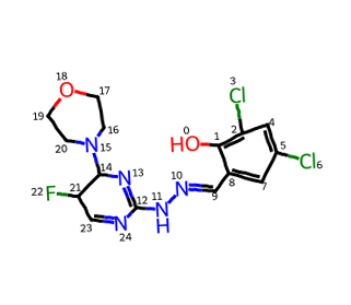 Oc1c(Cl)cc(Cl)cc1/C=N/NC1=NC(N2CCOCC2)C(F)C=N1